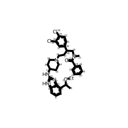 CCOC(C)c1cccc2[nH]c(NC3CCN(CCC(CN(C)C(=O)c4ccccc4)c4ccc(Cl)c(Cl)c4)CC3)nc12